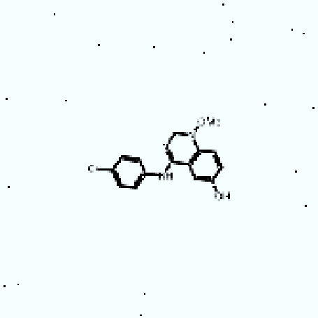 CON1CN=C(Nc2ccc(Cl)cc2)c2cc(O)ccc21